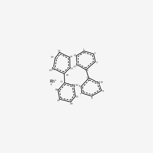 [Rh+].c1ccc(-c2ccccn2)nc1.c1ccc(-c2ccccn2)nc1